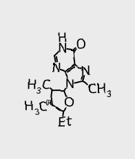 CCC1OC(n2c(C)nc3c(=O)[nH]cnc32)C(C)[C@H]1C